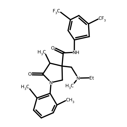 CCN(C)CC1(C(=O)Nc2cc(C(F)(F)F)cc(C(F)(F)F)c2)CN(c2c(C)cccc2C)C(=O)C1C